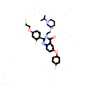 CC(C)N1CCC[C@H](CCn2c(-c3ccc(OCCF)cc3F)nc3ccc(Oc4ccc(F)cc4)cc3c2=O)C1